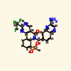 CS(=O)(=O)c1ccccc1N(Cc1ccc2ncc(N)nc2c1)C(=O)c1cnc(C(F)(F)F)nc1